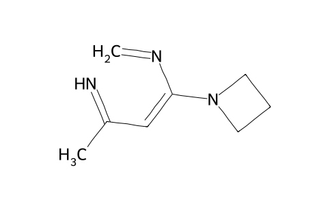 C=N/C(=C\C(C)=N)N1CCC1